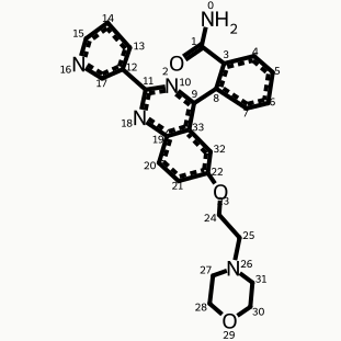 NC(=O)c1ccccc1-c1nc(-c2cccnc2)nc2ccc(OCCN3CCOCC3)cc12